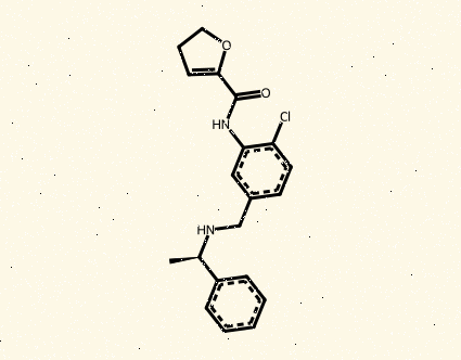 C[C@@H](NCc1ccc(Cl)c(NC(=O)C2=CCCO2)c1)c1ccccc1